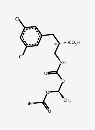 CC(C)C(=O)O[C@H](C)OC(=O)NC[C@H](Cc1cc(Cl)cc(Cl)c1)C(=O)O